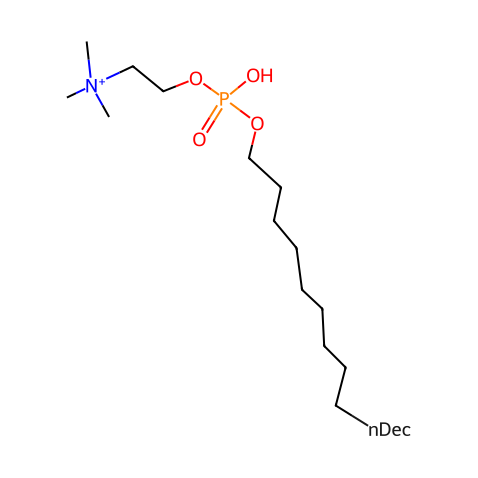 CCCCCCCCCCCCCCCCCCCOP(=O)(O)OCC[N+](C)(C)C